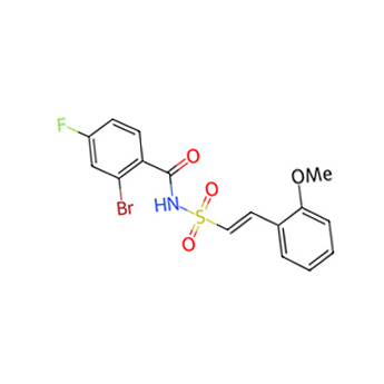 COc1ccccc1C=CS(=O)(=O)NC(=O)c1ccc(F)cc1Br